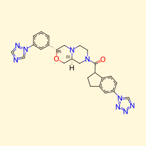 O=C(C1CCc2cc(-n3cnnn3)ccc21)N1CCN2C[C@@H](c3cccc(-n4cncn4)c3)OC[C@@H]2C1